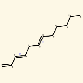 C=C/C=C/C/C=C/CCCCC